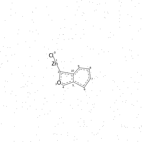 [Cl][Zn][c]1occ2ccccc12